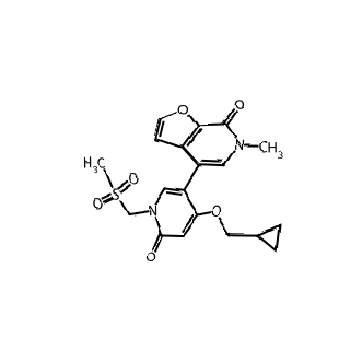 Cn1cc(-c2cn(CS(C)(=O)=O)c(=O)cc2OCC2CC2)c2ccoc2c1=O